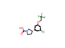 O=C(O)N1CC[C@@H](c2cc(Cl)cc(OCC(F)(F)F)c2)C1